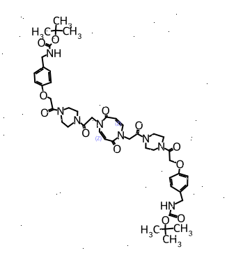 CC(C)(C)OC(=O)NCc1ccc(OCC(=O)N2CCN(C(=O)CN3/C=C\C(=O)N(CC(=O)N4CCN(C(=O)COc5ccc(CNC(=O)OC(C)(C)C)cc5)CC4)/C=C\C3=O)CC2)cc1